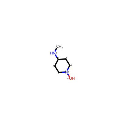 CNC1CCN(O)CC1